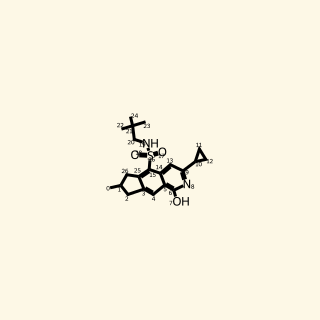 CC1Cc2cc3c(O)nc(C4CC4)cc3c(S(=O)(=O)NCC(C)(C)C)c2C1